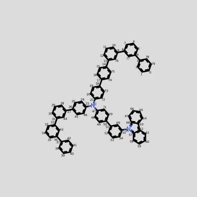 c1ccc(-c2cccc(-c3cccc(-c4ccc(-c5ccc(N(c6ccc(-c7cccc(-c8cccc(-c9ccccc9)c8)c7)cc6)c6ccc(-c7cccc(-n8c9ccccc9c9ccccc98)c7)cc6)cc5)cc4)c3)c2)cc1